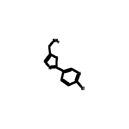 NCc1cnc(-c2ccc(Cl)nc2)s1